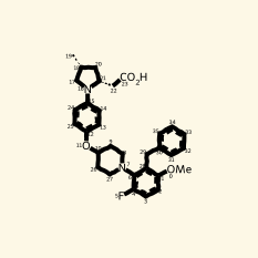 COc1ccc(F)c(N2CCC(Oc3ccc(N4C[C@H](C)C[C@@H]4CC(=O)O)cc3)CC2)c1Cc1ccccc1